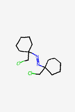 ClCC1(N=NC2(CCl)CCCCC2)CCCCC1